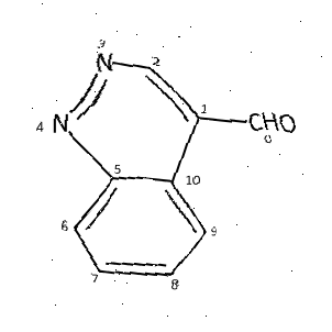 O=Cc1cnnc2ccccc12